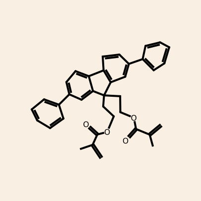 C=C(C)C(=O)OCCC1(CCOC(=O)C(=C)C)c2cc(-c3ccccc3)ccc2-c2ccc(-c3ccccc3)cc21